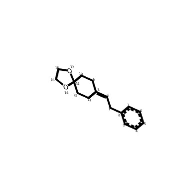 C(Cc1ccccc1)=C1CCC2(CC1)OCCO2